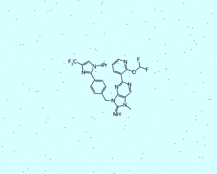 CC(C)n1cc(C(F)(F)F)nc1-c1ccc(Cn2c(=N)n(C)c3cnc(-c4cccnc4OC(F)F)nc32)cc1